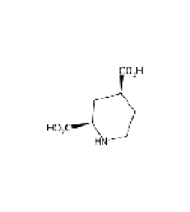 O=C(O)[C@H]1CCN[C@@H](C(=O)O)C1